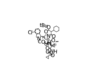 C=C[C@@H]1C[C@]1(NC(=O)[C@@H]1C[C@@H](C2c3cccc(Cl)c3CN2C(=O)O)CN1C(=O)C(C(=O)OC(C)(C)C)C1CCCCC1)C(=O)NS(=O)(=O)C1CC1